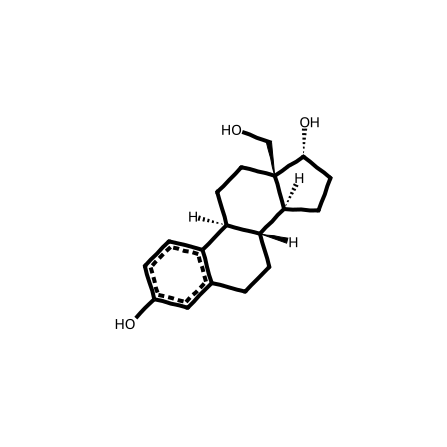 OC[C@]12CC[C@@H]3c4ccc(O)cc4CC[C@H]3[C@@H]1CC[C@H]2O